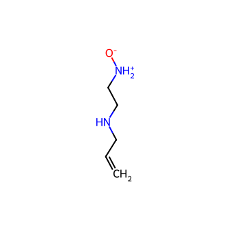 C=CCNCC[NH2+][O-]